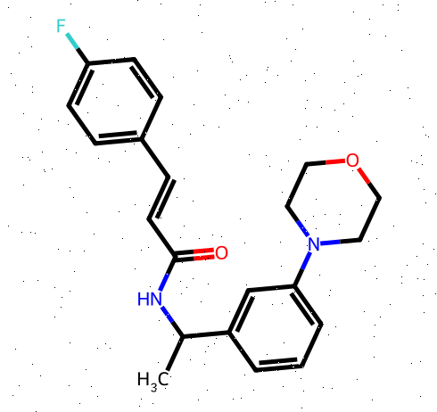 CC(NC(=O)C=Cc1ccc(F)cc1)c1cccc(N2CCOCC2)c1